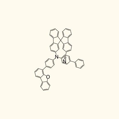 N#Cc1ccc2c(c1)C1(c3ccccc3-2)c2ccccc2-c2ccc(N(c3ccc(-c4ccccc4)cc3)c3ccc(-c4cccc5c4oc4ccccc45)cc3)cc21